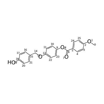 COc1ccc(C(=O)Oc2ccc(OCc3ccc(O)cc3)cc2)cc1